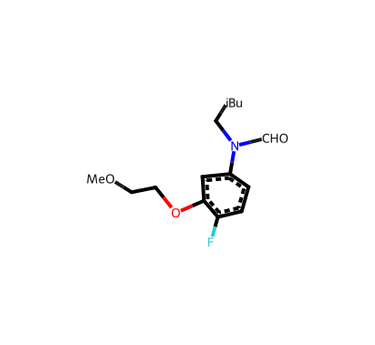 CCC(C)CN(C=O)c1ccc(F)c(OCCOC)c1